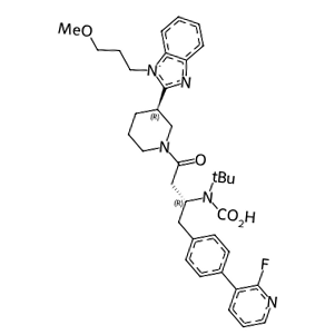 COCCCn1c([C@@H]2CCCN(C(=O)C[C@@H](Cc3ccc(-c4cccnc4F)cc3)N(C(=O)O)C(C)(C)C)C2)nc2ccccc21